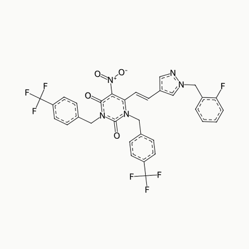 O=c1c([N+](=O)[O-])c(/C=C/c2cnn(Cc3ccccc3F)c2)n(Cc2ccc(C(F)(F)F)cc2)c(=O)n1Cc1ccc(C(F)(F)F)cc1